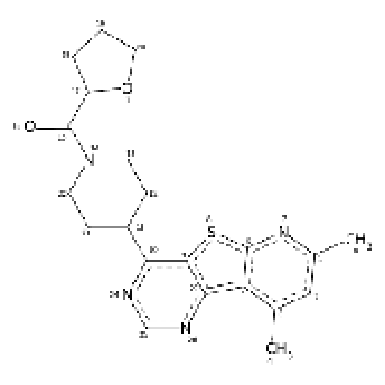 Cc1cc(C)c2c(n1)sc1c(C3CCN(C(=O)C4CCCO4)CC3)ncnc12